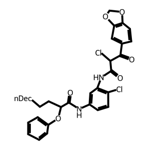 CCCCCCCCCCCCC(Oc1ccccc1)C(=O)Nc1ccc(Cl)c(NC(=O)C(Cl)C(=O)c2ccc3c(c2)OCO3)c1